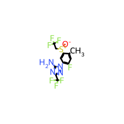 Cc1cc(F)c(-n2nc(C(F)(F)F)nc2N)cc1[S+]([O-])CC(F)(F)F